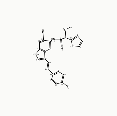 COC(C(=O)Nc1cc2c(/C=C/c3ccc(F)cc3)n[nH]c2cc1F)c1cccs1